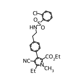 CCOC(=O)c1c(-c2ccc(CCNS(=O)(=O)c3ccccc3Cl)cc2)c(C#N)c(CC)n1C